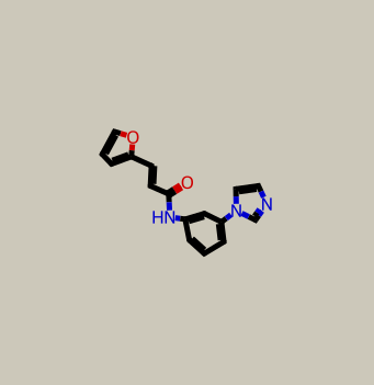 O=C(/C=C/c1ccco1)Nc1cccc(-n2ccnc2)c1